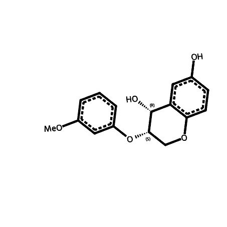 COc1cccc(O[C@H]2COc3ccc(O)cc3[C@H]2O)c1